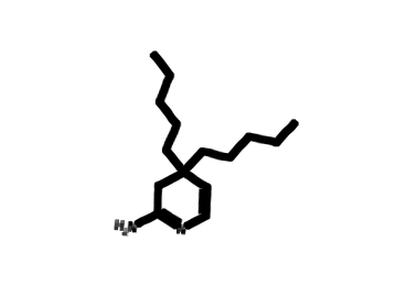 CCCCCC1(CCCCC)C=CN=C(N)C1